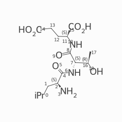 CC(C)C[C@H](N)C(=O)N[C@H](C(=O)N[C@@H](CCC(=O)O)C(=O)O)[C@@H](C)O